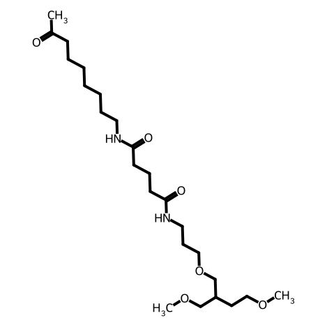 COCCC(COC)COCCCNC(=O)CCCC(=O)NCCCCCCCC(C)=O